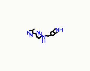 Cc1cnn(C)c1-c1ccc(NCCC2CC3CNCC3C2)nn1